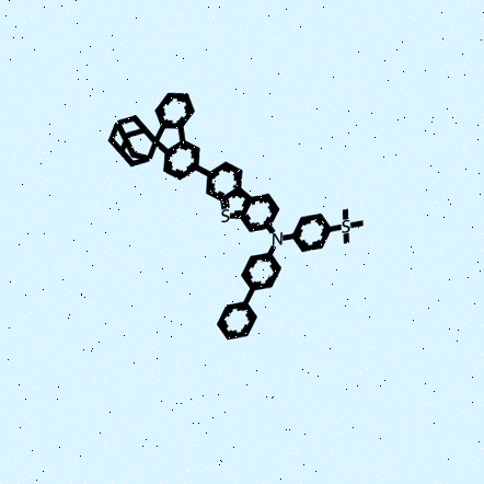 CS(C)(C)c1ccc(N(c2ccc(-c3ccccc3)cc2)c2ccc3c(c2)sc2cc(-c4ccc5c(c4)-c4ccccc4C54C5CC6CC(C5)CC4C6)ccc23)cc1